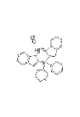 C1=C2[CH]([Hf+2][CH]3C(=Cc4ccccc43)[Si]2(c2ccccc2)c2ccccc2)c2ccccc21.[Cl-].[Cl-]